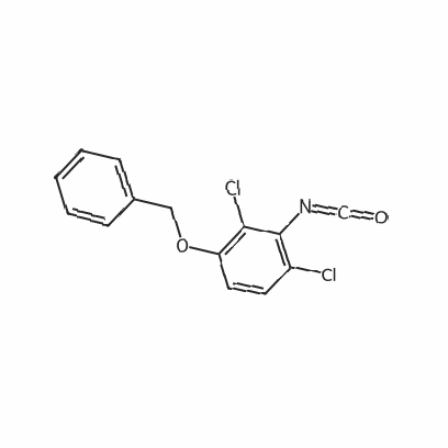 O=C=Nc1c(Cl)ccc(OCc2ccccc2)c1Cl